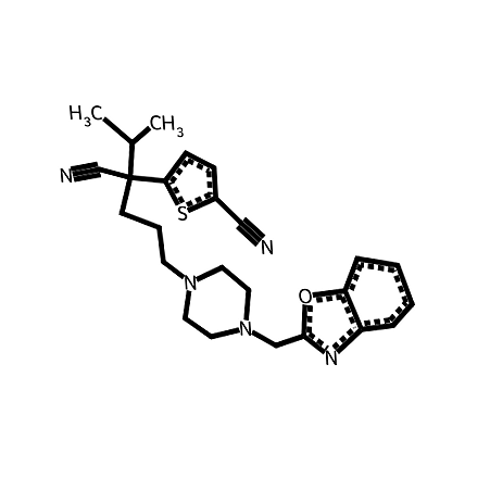 CC(C)C(C#N)(CCCN1CCN(Cc2nc3ccccc3o2)CC1)c1ccc(C#N)s1